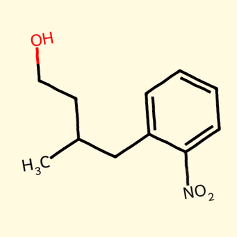 CC(CCO)Cc1ccccc1[N+](=O)[O-]